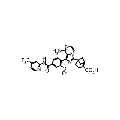 CCOc1cc(C(=O)Nc2cc(C(F)(F)F)ccn2)ccc1-c1nc(C23CCC(C(=O)O)=C(C2)C3)n2ccnc(N)c12